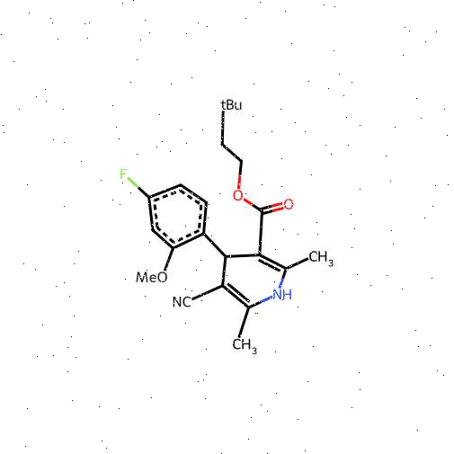 COc1cc(F)ccc1C1C(C#N)=C(C)NC(C)=C1C(=O)OCCC(C)(C)C